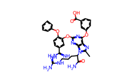 Cc1nc2c(Oc3cccc(C(=O)O)c3)nc(Oc3cc(C(=N)N)ccc3Oc3ccccc3)nc2n1C(CCCNC(=N)N)C(N)=O